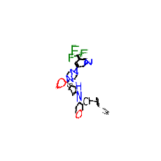 CC1COCCC1NC1CC[C@H](C(=O)N2CCN(c3cncc(C(F)(F)F)c3)CC2)C1